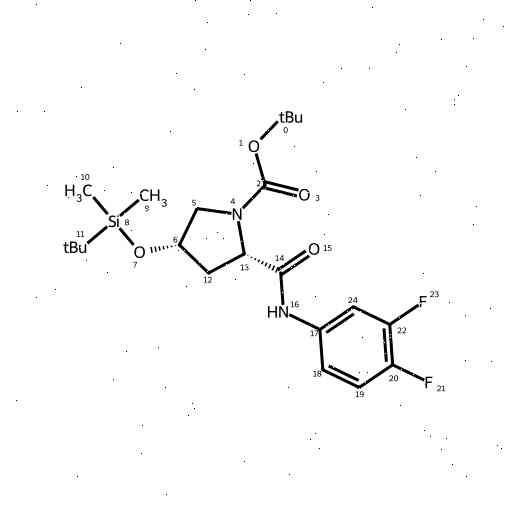 CC(C)(C)OC(=O)N1C[C@@H](O[Si](C)(C)C(C)(C)C)C[C@H]1C(=O)Nc1ccc(F)c(F)c1